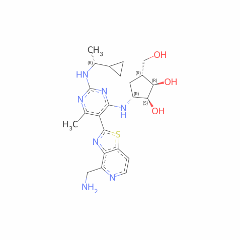 Cc1nc(N[C@H](C)C2CC2)nc(N[C@@H]2C[C@H](CO)[C@@H](O)[C@H]2O)c1-c1nc2c(CN)nccc2s1